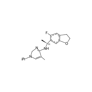 CC1=CN(C(C)C)CN=C1N[C@@H](C)c1cc2c(cc1F)CCO2